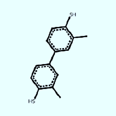 Cc1cc(-c2ccc(S)c(C)c2)ccc1S